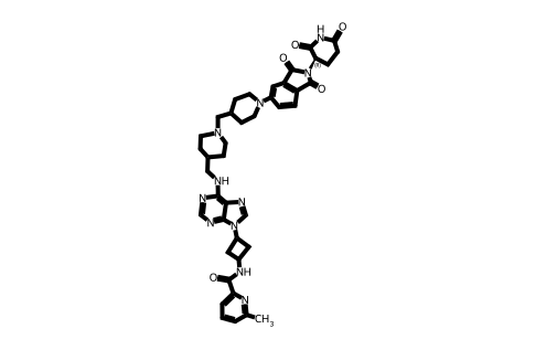 Cc1cccc(C(=O)NC2CC(n3cnc4c(NCC5CCN(CC6CCN(c7ccc8c(c7)C(=O)N([C@@H]7CCC(=O)NC7=O)C8=O)CC6)CC5)ncnc43)C2)n1